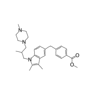 COC(=O)c1ccc(Cc2ccc3c(c2)c(C)c(C)n3CC(C)CN2CCN(C)CC2)cc1